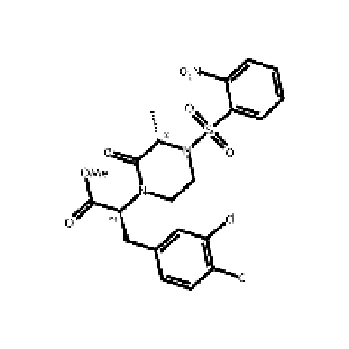 COC(=O)[C@H](Cc1ccc(Cl)c(Cl)c1)N1CCN(S(=O)(=O)c2ccccc2[N+](=O)[O-])[C@@H](C)C1=O